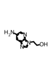 Nc1cnc2c(c1)ncn2CCO